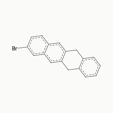 Brc1ccc2cc3c(cc2c1)Cc1ccccc1C3